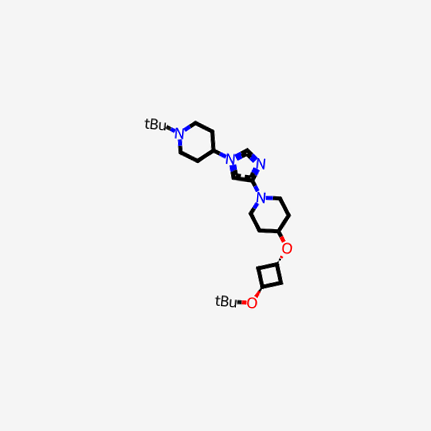 CC(C)(C)O[C@H]1C[C@H](OC2CCN(c3cn(C4CCN(C(C)(C)C)CC4)cn3)CC2)C1